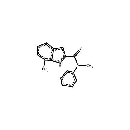 Cc1cccc2cc(C(=O)N(C)c3ccccc3)[nH]c12